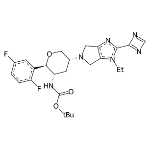 CCn1c(C2=NC=N2)nc2c1CN([C@H]1CO[C@H](c3cc(F)ccc3F)[C@@H](NC(=O)OC(C)(C)C)C1)C2